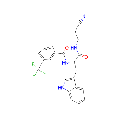 N#CCCNC(=O)C(Cc1c[nH]c2ccccc12)NC(=O)c1cccc(C(F)(F)F)c1